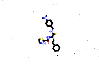 CN(C)c1ccc(CNC(=S)[C@@H](CCC2CCCCC2)NC(=O)[C@H]2NCCS2)cc1